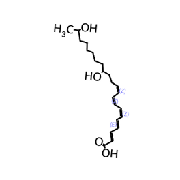 CC(O)CCCCCCC(O)CC\C=C/C=C\C=C/C=C/C=CC(=O)O